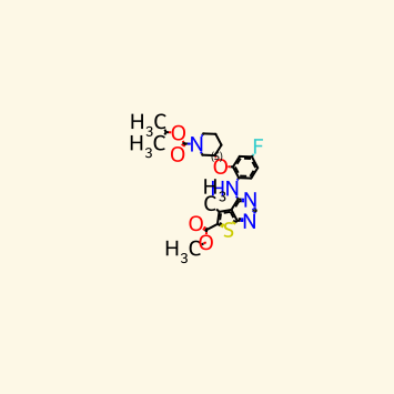 COC(=O)c1sc2ncnc(Nc3ccc(F)cc3O[C@H]3CCCN(C(=O)OC(C)C)C3)c2c1C